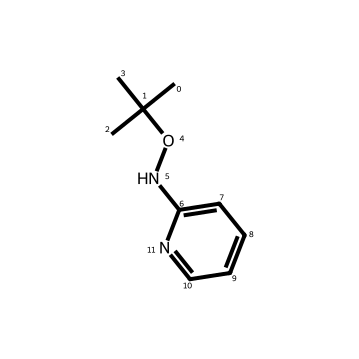 CC(C)(C)ONc1ccccn1